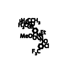 CC[C@@H]1CN(C(=O)c2ccc(C(F)(F)F)cc2Cl)CCN1c1ccc(B2OC(C)(C)C(C)(C)O2)cc1C(=O)OC